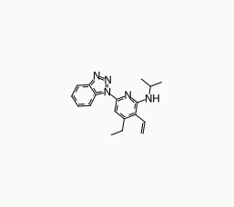 C=Cc1c(CC)cc(-n2nnc3ccccc32)nc1NC(C)C